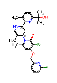 CC1=CN[C@@H](c2nc(C(C)(C)O)ccc2C)C[C@H]1n1c(C)cc(OCc2cccc(F)n2)c(Br)c1=O